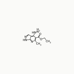 CCOC(=O)c1c(C)nc2[nH]ncc2c1NN